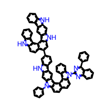 c1ccc(-c2nc(-n3c4ccccc4c4c5c(ccc6c5c5cc7c(cc5n6-c5ccccc5)[nH]c5cc(-c6cc8[nH]c9cc%10[nH]c%11ccccc%11c%10cc9c8c8c6ccc6[nH]c9ccccc9c68)ccc57)ccc43)nc3ccccc23)cc1